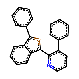 c1ccc(-c2cccnc2-c2sc(-c3ccccc3)c3ccccc23)cc1